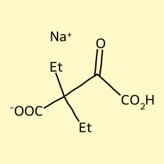 CCC(CC)(C(=O)[O-])C(=O)C(=O)O.[Na+]